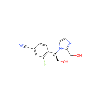 N#Cc1ccc([C@H](CO)n2ccnc2CO)c(F)c1